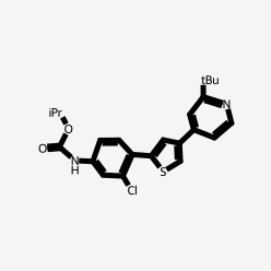 CC(C)OC(=O)Nc1ccc(-c2cc(-c3ccnc(C(C)(C)C)c3)cs2)c(Cl)c1